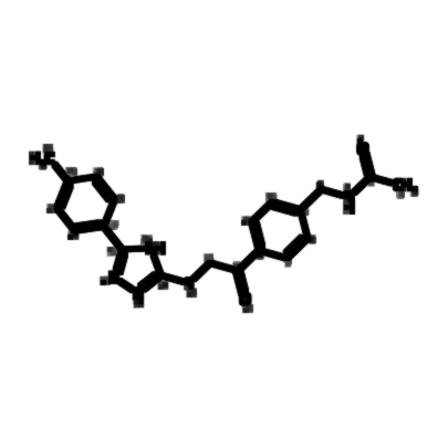 CC(=O)NCc1ccc(C(=O)CSc2nnc(-c3ccc(C)cc3)[nH]2)cc1